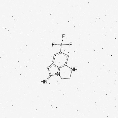 N=c1sc2cc(C(F)(F)F)cc3c2n1CCN3